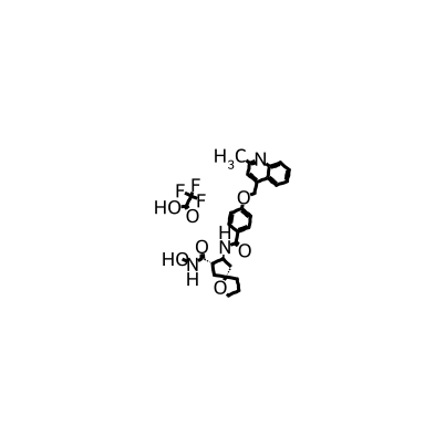 Cc1cc(COc2ccc(C(=O)N[C@@H]3C[C@@]4(CCCO4)C[C@@H]3C(=O)NO)cc2)c2ccccc2n1.O=C(O)C(F)(F)F